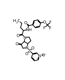 CCCC(NC(=O)c1ccc(OC(F)(F)F)cc1)C(=O)N1CCC2C1C(=O)CN2S(=O)(=O)c1ccc[n+]([O-])c1